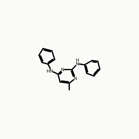 Cc1cc(Nc2ccccc2)nc(Nc2ccccc2)n1